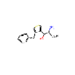 NC(C(=O)O)C(O)c1cscc1Cc1ccccc1